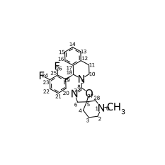 CN1CCCC2(CN=C(N3CCc4ccccc4[C@@H]3c3cccc(F)c3F)O2)C1